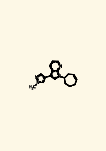 Cn1cc(-c2cn(C3CC=CCCC3)c3ncccc23)cn1